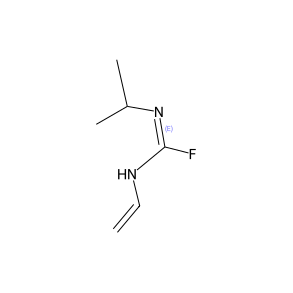 C=CN/C(F)=N\C(C)C